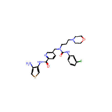 Nc1cscc1NC(=O)c1ccc(CN(CCCN2CCOCC2)C(=O)Nc2cccc(F)c2)cn1